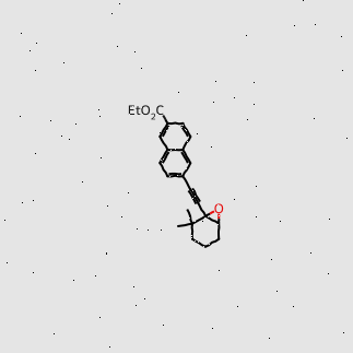 CCOC(=O)c1ccc2cc(C#CC34OC3CCCC4(C)C)ccc2c1